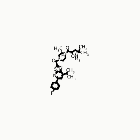 CC(C)c1cc(-c2ccc(F)cc2)nc2sc(C(=O)N3CCN(C(=O)[C@H](O)CC(C)(C)C)[C@@H](C)C3)nc12